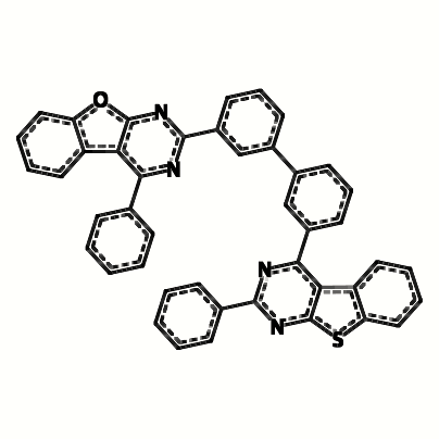 c1ccc(-c2nc(-c3cccc(-c4cccc(-c5nc(-c6ccccc6)c6c(n5)oc5ccccc56)c4)c3)c3c(n2)sc2ccccc23)cc1